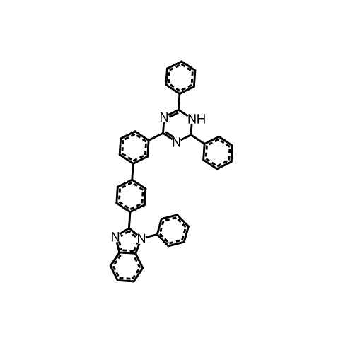 c1ccc(C2=NC(c3cccc(-c4ccc(-c5nc6ccccc6n5-c5ccccc5)cc4)c3)=NC(c3ccccc3)N2)cc1